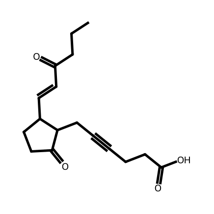 CCCC(=O)C=CC1CCC(=O)C1CC#CCCC(=O)O